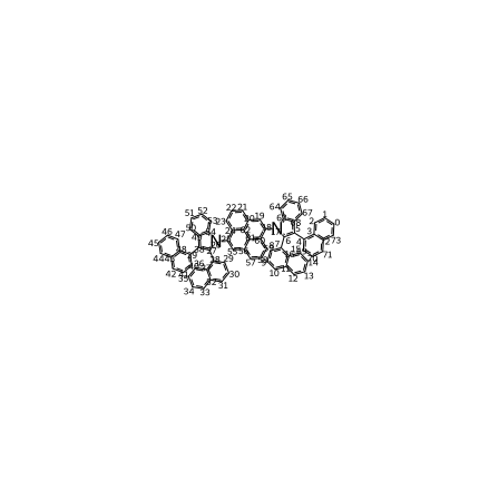 c1ccc2c(-c3c(-c4cccc5ccccc45)n(-c4cc5cccc6c(-n7c(-c8cccc9ccccc89)c(-c8cccc9ccccc89)c8ccccc87)cc7cccc4c7c56)c4ccccc34)cccc2c1